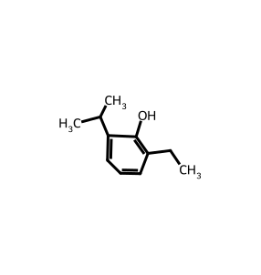 CCc1cccc(C(C)C)c1O